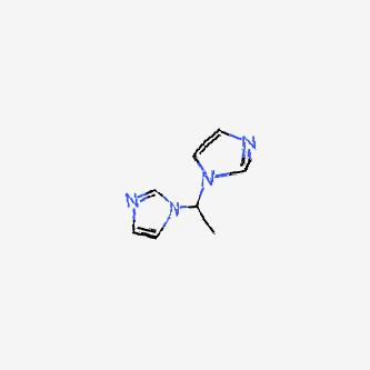 CC(n1ccnc1)n1ccnc1